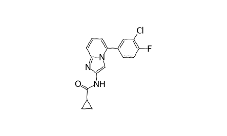 O=C(Nc1cn2c(-c3ccc(F)c(Cl)c3)cccc2n1)C1CC1